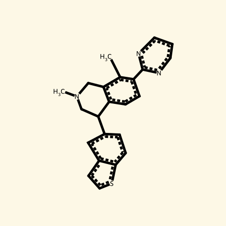 Cc1c(-c2ncccn2)ccc2c1CN(C)CC2c1ccc2sccc2c1